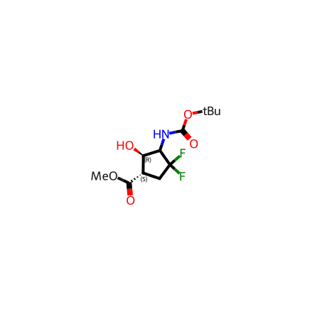 COC(=O)[C@H]1CC(F)(F)C(NC(=O)OC(C)(C)C)[C@@H]1O